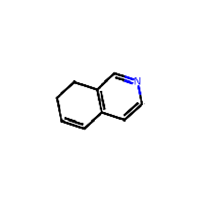 [c]1cc2c(cn1)CCC=C2